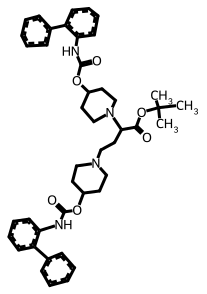 CC(C)(C)OC(=O)C(CCN1CCC(OC(=O)Nc2ccccc2-c2ccccc2)CC1)N1CCC(OC(=O)Nc2ccccc2-c2ccccc2)CC1